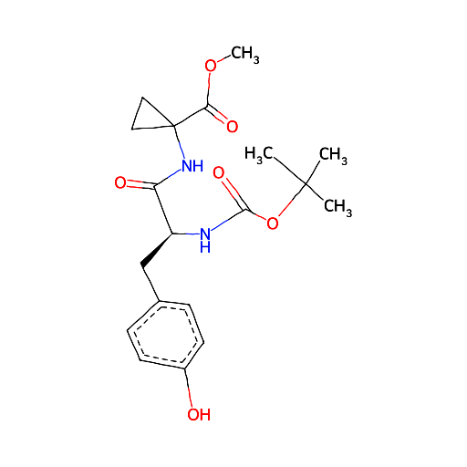 COC(=O)C1(NC(=O)[C@H](Cc2ccc(O)cc2)NC(=O)OC(C)(C)C)CC1